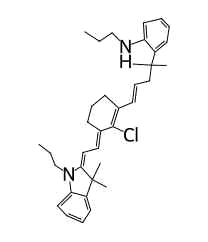 CCCNc1ccccc1C(C)(C)C/C=C/C1=C(Cl)C(=C/C=C2/N(CCC)c3ccccc3C2(C)C)/CCC1